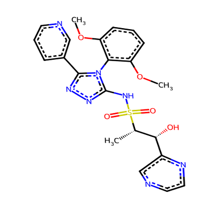 COc1cccc(OC)c1-n1c(NS(=O)(=O)[C@@H](C)[C@H](O)c2cnccn2)nnc1-c1cccnc1